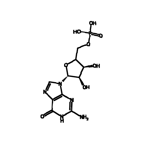 Nc1nc2c(ncn2[C@@H]2OC(COP(=O)(O)O)[C@@H](O)[C@H]2O)c(=O)[nH]1